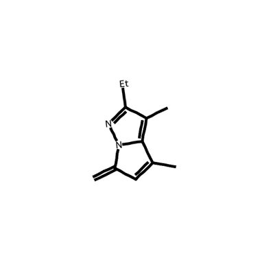 C=c1cc(C)c2c(C)c(CC)nn12